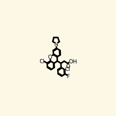 O=C(O)CC(c1cccc(F)c1Cl)C1c2ccc(N3CCCC3)cc2Oc2c(Cl)cccc21